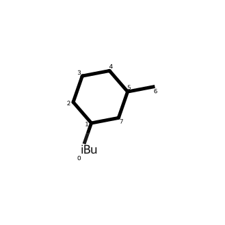 CCC(C)C1CCCC(C)C1